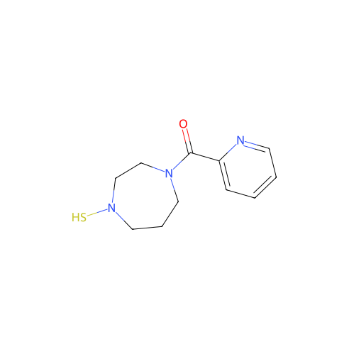 O=C(c1ccccn1)N1CCCN(S)CC1